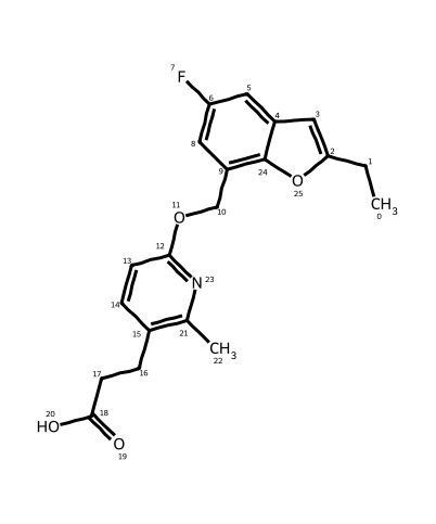 CCc1cc2cc(F)cc(COc3ccc(CCC(=O)O)c(C)n3)c2o1